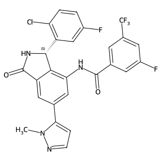 Cn1nccc1-c1cc(NC(=O)c2cc(F)cc(C(F)(F)F)c2)c2c(c1)C(=O)N[C@@H]2c1cc(F)ccc1Cl